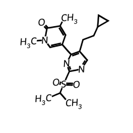 Cc1cc(-c2nc(S(=O)(=O)C(C)C)ncc2CCC2CC2)cn(C)c1=O